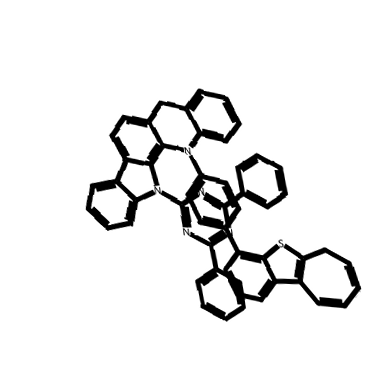 C1=CCc2sc3c(-c4ccc(N5c6ccccc6Cc6ccc7c8ccccc8n(-c8nc(-c9ccccc9)nc(-c9ccccc9)n8)c7c65)cc4)cccc3c2C=C1